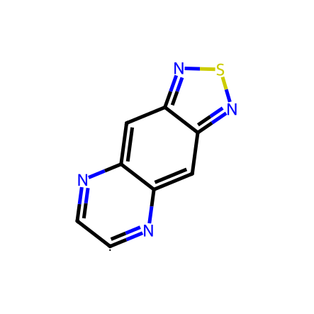 [c]1cnc2cc3nsnc3cc2n1